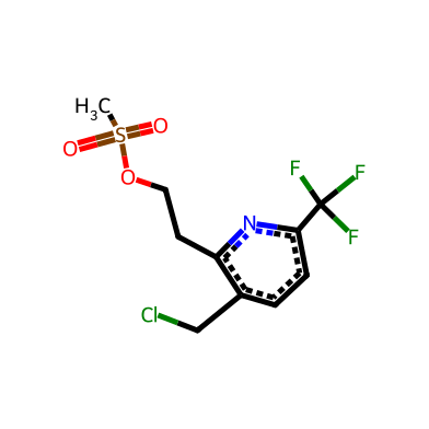 CS(=O)(=O)OCCc1nc(C(F)(F)F)ccc1CCl